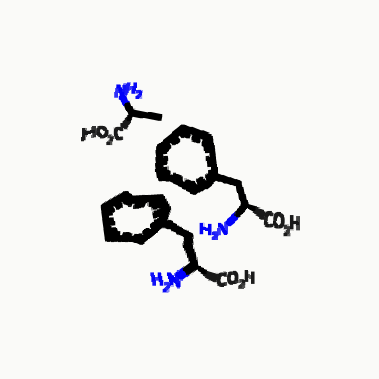 C[C@H](N)C(=O)O.N[C@@H](Cc1ccccc1)C(=O)O.N[C@@H](Cc1ccccc1)C(=O)O